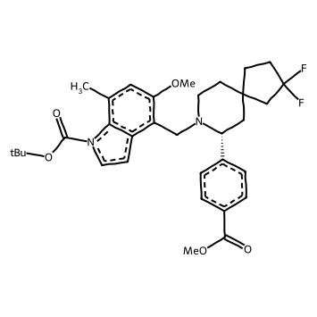 COC(=O)c1ccc([C@H]2CC3(CCN2Cc2c(OC)cc(C)c4c2ccn4C(=O)OC(C)(C)C)CCC(F)(F)C3)cc1